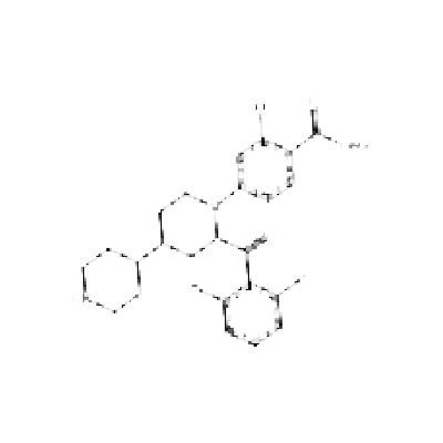 COC(=O)c1ccc(N2CCC(C3CCNCC3)CC2C(=O)c2c(F)cccc2F)cc1Cl